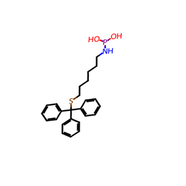 OP(O)NCCCCCCSC(c1ccccc1)(c1ccccc1)c1ccccc1